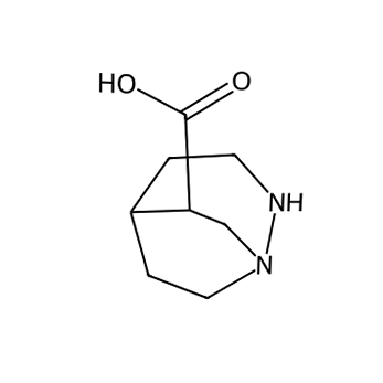 O=C(O)C1CN2CCC1CCN2